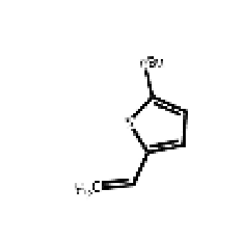 C=Cc1ccc(CCCC)s1